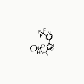 C[C@@H](NC(=O)N1CCCCC1)c1cc(-c2ccnc(C(F)(F)F)c2)no1